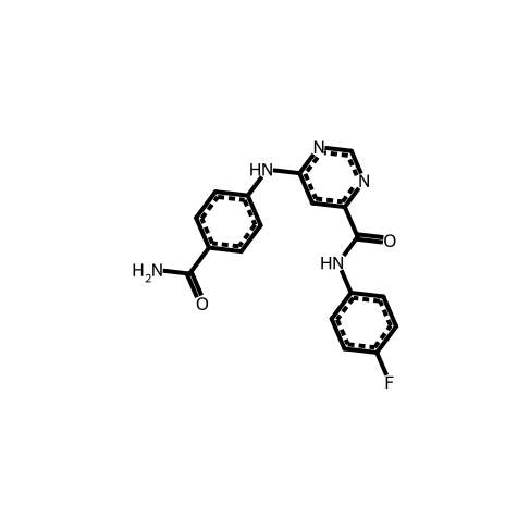 NC(=O)c1ccc(Nc2cc(C(=O)Nc3ccc(F)cc3)ncn2)cc1